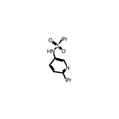 CC(C)c1ccc(NS(=O)(=O)C(C)C)cn1